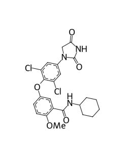 COc1ccc(Oc2c(Cl)cc(N3CC(=O)NC3=O)cc2Cl)cc1C(=O)NC1CCCCC1